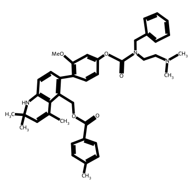 COc1cc(OC(=O)N(CCN(C)C)Cc2ccccc2)ccc1-c1ccc2c(c1COC(=O)c1ccc(C)cc1)C(C)=CC(C)(C)N2